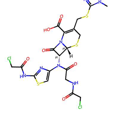 Cn1nnnc1SCC1=C(C(=O)O)N2C(=O)[C@@H](N(C(=O)CNC(=O)CCl)c3csc(NC(=O)CCl)n3)[C@H]2SC1